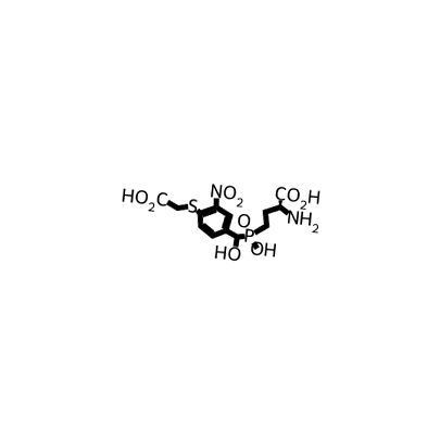 N[C@@H](CCP(=O)(O)C(O)c1ccc(SCC(=O)O)c([N+](=O)[O-])c1)C(=O)O